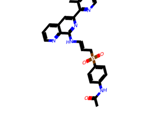 CC(=O)Nc1ccc(S(=O)(=O)CC=CNc2nc(-c3ncccc3C)cc3cccnc23)cc1